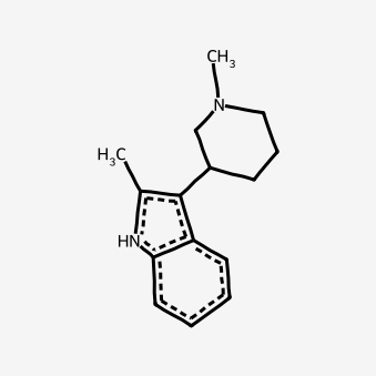 Cc1[nH]c2ccccc2c1C1CCCN(C)C1